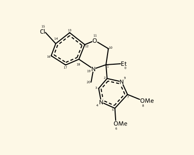 CCC1(c2cnc(OC)c(OC)n2)COc2cc(Cl)ccc2N1C